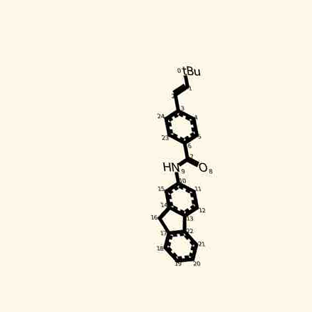 CC(C)(C)C=Cc1ccc(C(=O)Nc2ccc3c(c2)Cc2ccccc2-3)cc1